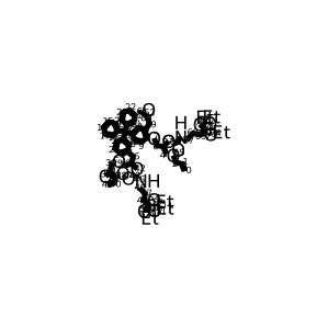 C=CCOCC(COc1ccc(C(c2ccccc2)(c2ccccc2)c2ccc(OCC3CO3)c(CC(COCC=C)OC(=O)NCCC[Si](OCC)(OCC)OCC)c2)cc1CC1CO1)OC(=O)NCCC[Si](OCC)(OCC)OCC